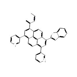 C=C(/C=C\C)c1cc(-c2cccnc2)c2ccc3c(-c4cccnc4)cc(-c4cc5ccccc5s4)c4ccc1c2c34